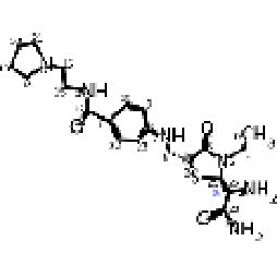 CCN1C(=O)[C@@H](CNc2ccc(C(=O)NCCN3CCCC3)cc2)S/C1=C(/N)C(N)=O